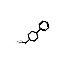 [CH2]CC1CCC(c2ccccc2)CC1